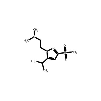 CC(C)c1cc(S(N)(=O)=O)nn1CCN(C)C